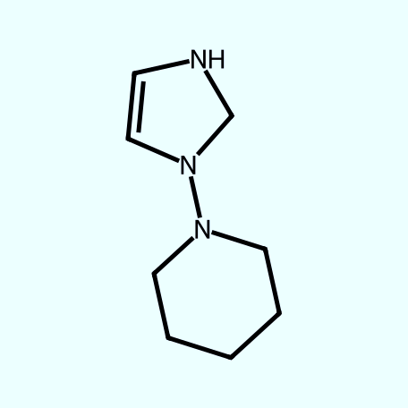 C1=CN(N2CCCCC2)CN1